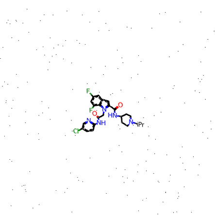 CC(C)N1CCC(NC(=O)c2cc3cc(F)cc(F)c3n2CC(=O)Nc2ccc(Cl)cn2)CC1